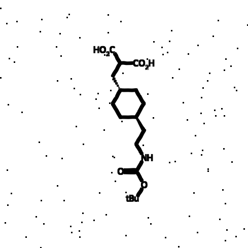 CC(C)(C)OC(=O)NCC[C@H]1CC[C@H](CC(C(=O)O)C(=O)O)CC1